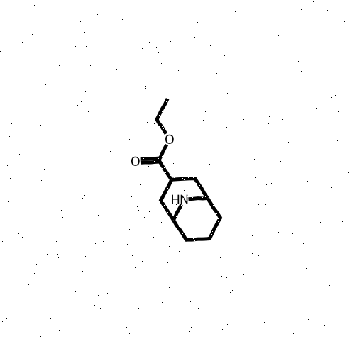 CCOC(=O)C1CC2CCCC(C1)N2